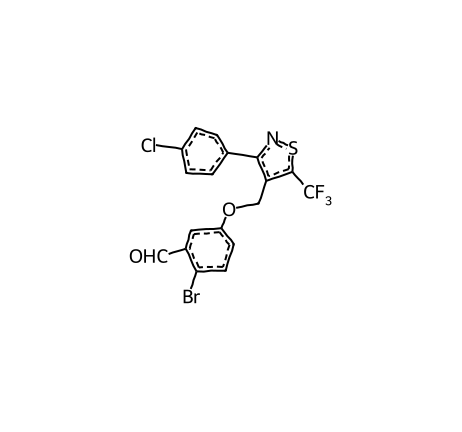 O=Cc1cc(OCc2c(-c3ccc(Cl)cc3)nsc2C(F)(F)F)ccc1Br